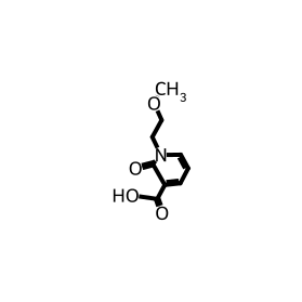 COCCn1cccc(C(=O)O)c1=O